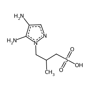 CC(Cn1ncc(N)c1N)CS(=O)(=O)O